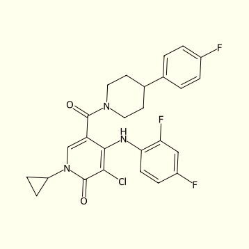 O=C(c1cn(C2CC2)c(=O)c(Cl)c1Nc1ccc(F)cc1F)N1CCC(c2ccc(F)cc2)CC1